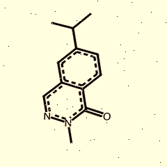 CC(C)c1ccc2c(=O)n(C)ncc2c1